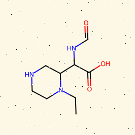 CCN1CCNCC1C(NC=O)C(=O)O